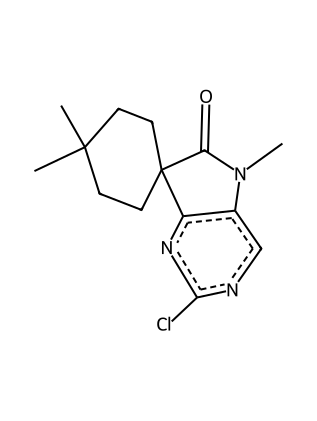 CN1C(=O)C2(CCC(C)(C)CC2)c2nc(Cl)ncc21